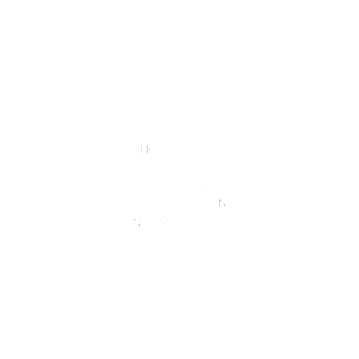 CCN(CC)C(=O)c1cccc(/C=C2\CC[C@@H](CN(C)C)[C@@H](c3cccc(OC)c3)C2)c1.Cl